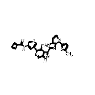 Cc1ccc(-c2nccc3[nH]c(-c4n[nH]c5cnc(-c6cncc(NC(=O)C7CCC7)c6)c(F)c45)nc23)s1